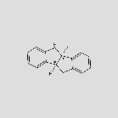 C[C@@]12Nc3ccccc3[C@@H]1Cc1ccccc12